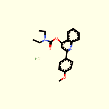 CCN(CC)C(=O)Oc1cc(-c2ccc(OC)cc2)nc2ccccc12.Cl